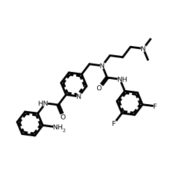 CN(C)CCCN(Cc1ccc(C(=O)Nc2ccccc2N)nc1)C(=O)Nc1cc(F)cc(F)c1